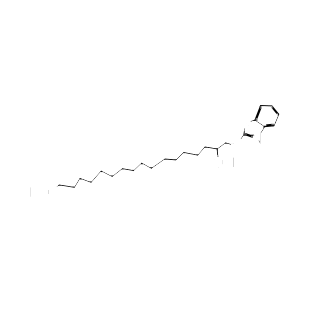 CCCCCCCCCCCCCCCCC(O)CSc1nc2ccccc2s1